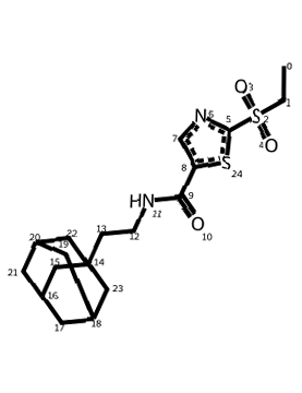 CCS(=O)(=O)c1ncc(C(=O)NCCC23CC4CC(CC(C4)C2)C3)s1